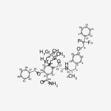 C[C@@H](Cc1ccc(OCC(F)(F)c2ccccc2)cc1)NC[C@@H](O[Si](C)(C)C(C)(C)C)c1ccc(OCc2ccccc2)c(C(N)=O)c1